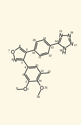 COc1cc(-c2nocc2-c2ccc(-c3nnn[nH]3)cc2)cc(C)c1OC